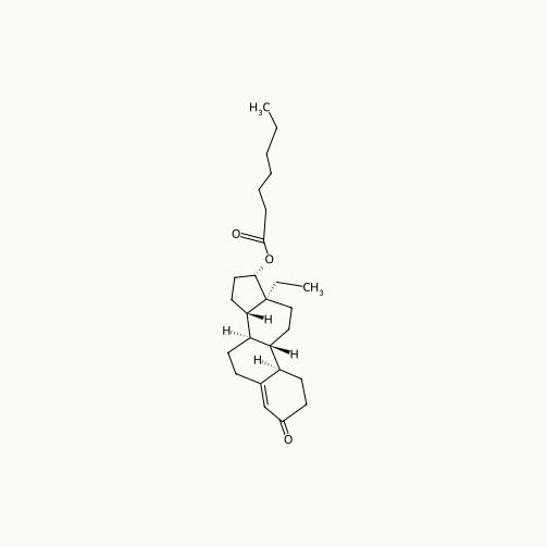 CCCCCCC(=O)O[C@H]1CC[C@H]2[C@@H]3CCC4=CC(=O)CC[C@@H]4[C@H]3CC[C@]12CC